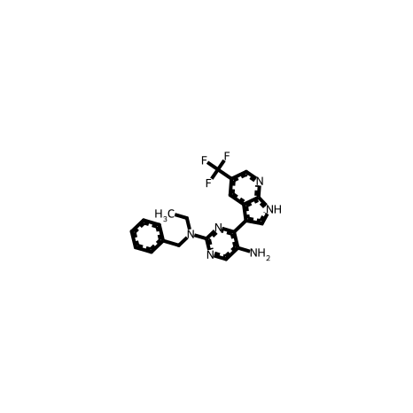 CCN(Cc1ccccc1)c1ncc(N)c(-c2c[nH]c3ncc(C(F)(F)F)cc23)n1